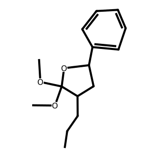 CCCC1CC(c2ccccc2)OC1(OC)OC